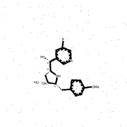 COc1ccc(C[C@@H]2CC[C@H]([C@H](O)c3cncc(F)c3)N2)cc1.Cl.Cl